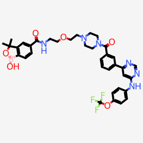 CC1(C)OB(O)c2ccc(C(=O)NCCOCCN3CCN(C(=O)c4cccc(-c5cc(Nc6ccc(OC(F)(F)F)cc6)ncn5)c4)CC3)cc21